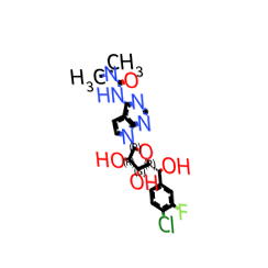 CN(C)C(=O)Nc1ncnc2c1ccn2[C@@H]1O[C@H](C(O)c2ccc(Cl)c(F)c2)[C@@H](O)[C@H]1O